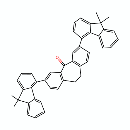 CC1(C)c2ccccc2-c2c(-c3ccc4c(c3)C(=O)c3cc(-c5cccc6c5-c5ccccc5C6(C)C)ccc3CC4)cccc21